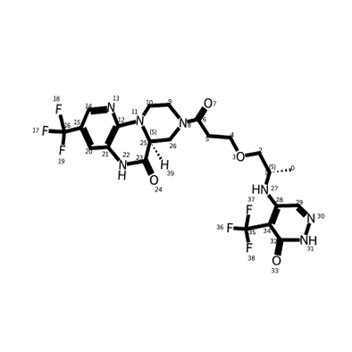 C[C@@H](COCCC(=O)N1CCN2c3ncc(C(F)(F)F)cc3NC(=O)[C@@H]2C1)Nc1cn[nH]c(=O)c1C(F)(F)F